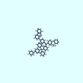 CC1(C)c2ccccc2-c2ccc(N(c3ccc(-c4cccc5c4oc4ccccc45)cc3)c3cccc4c3-c3ccccc3C4(c3ccccc3)c3ccc(-c4ccccc4)cc3)cc21